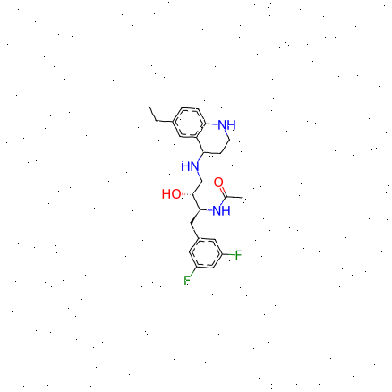 CCc1ccc2c(c1)C(NC[C@@H](O)[C@H](Cc1cc(F)cc(F)c1)NC(C)=O)CCN2